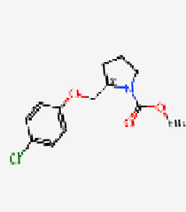 CC(C)(C)OC(=O)N1CCC[C@H]1COc1ccc(Cl)cc1